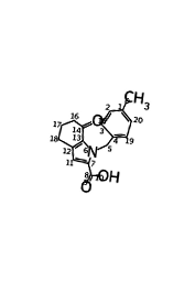 Cc1ccc(Cn2c(C(=O)O)cc3c2C(=O)CCC3)cc1